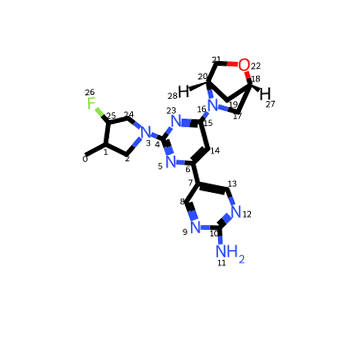 CC1CN(c2nc(-c3cnc(N)nc3)cc(N3C[C@@H]4C[C@H]3CO4)n2)CC1F